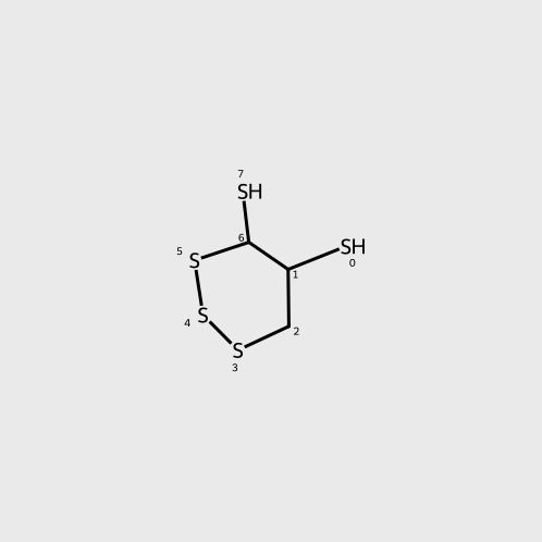 SC1CSSSC1S